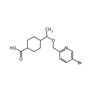 CC(OCc1ccc(Br)cn1)C1CCC(C(=O)O)CC1